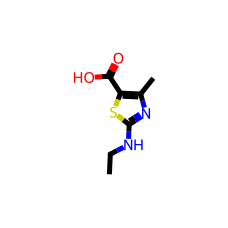 CCNc1nc(C)c(C(=O)O)s1